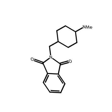 C[N]C1CCC(CN2C(=O)c3ccccc3C2=O)CC1